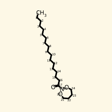 CCCCCCCCCCCCCCCCCC(=O)N1OCCCCO1